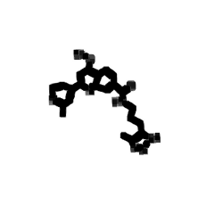 CCOc1cc(-c2ccnc(C)c2)nc2cc(C(=O)NCCCc3[nH]nnc3C)ccc12